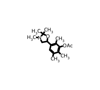 CC(=O)Oc1c(C)c(C)cc(C2CN(C)C(C)(C)O2)c1C